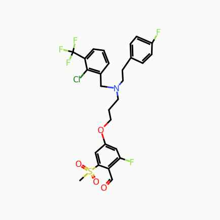 CS(=O)(=O)c1cc(OCCCN(CCc2ccc(F)cc2)Cc2cccc(C(F)(F)F)c2Cl)cc(F)c1C=O